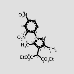 CCOC(=O)C(C(=O)OCC)c1c(C)nn(-c2ccc([N+](=O)[O-])cc2[N+](=O)[O-])c1C